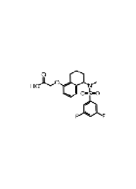 CN(C1CCCc2c(OCC(=O)O)cccc21)S(=O)(=O)c1cc(F)cc(F)c1